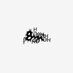 COC1C=CC(=C(O)[C@H](O)[C@@H](O)[C@H](O)[C@H](O)CO)c2ccccc21